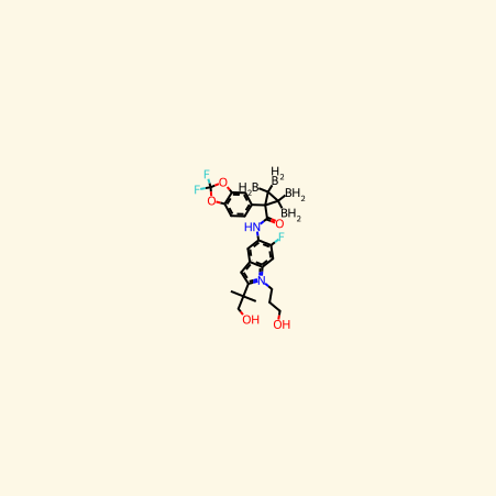 BC1(B)C(B)(B)C1(C(=O)Nc1cc2cc(C(C)(C)CO)n(CCCO)c2cc1F)c1ccc2c(c1)OC(F)(F)O2